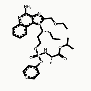 CCC[C@H](CCOP(=O)(N[C@@H](C)C(=O)OC(C)C)Oc1ccncc1)n1c(COCC)nc2c(N)nc3ccccc3c21